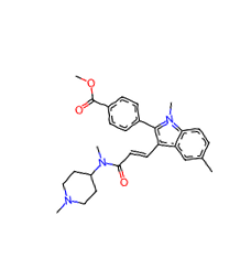 COC(=O)c1ccc(-c2c(C=CC(=O)N(C)C3CCN(C)CC3)c3cc(C)ccc3n2C)cc1